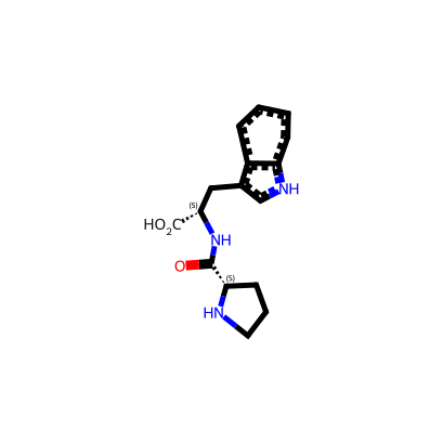 O=C(O)[C@H](Cc1c[nH]c2ccccc12)NC(=O)[C@@H]1CCCN1